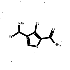 CCCCC(CC)c1csc(C(N)=O)c1CC